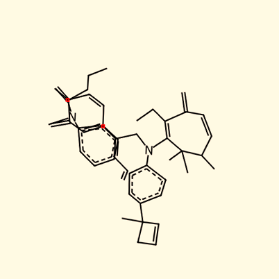 C=C/C=C(CN(C1=C(CC)C(=C)C=CC(C)C1(C)C)c1ccc(C2(C)C=CC2)cc1)/C(/C=C\C(=C)N(C)c1ccccc1)=C/C(=C)C(C)CCC